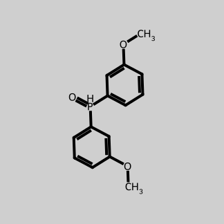 COc1cccc([PH](=O)c2cccc(OC)c2)c1